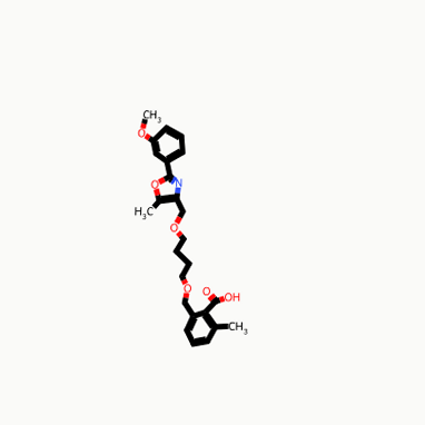 COc1cccc(-c2nc(COCCCCOCc3cccc(C)c3C(=O)O)c(C)o2)c1